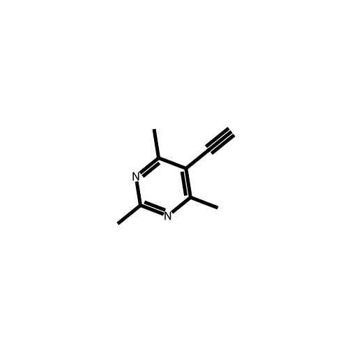 C#Cc1c(C)nc(C)nc1C